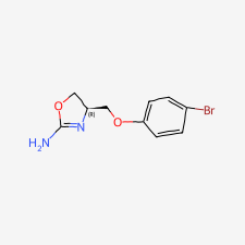 NC1=N[C@H](COc2ccc(Br)cc2)CO1